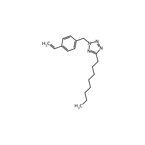 C=Cc1ccc(Cn2nnc(CCCCCCCC)n2)cc1